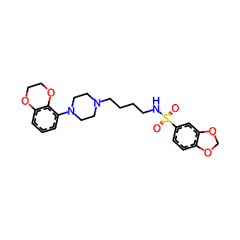 O=S(=O)(NCCCCN1CCN(c2cccc3c2OCCO3)CC1)c1ccc2c(c1)OCO2